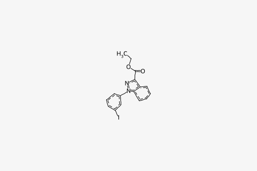 CCOC(=O)c1nn(-c2cccc(I)c2)c2ccccc12